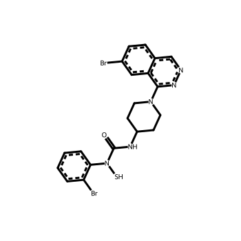 O=C(NC1CCN(c2nncc3ccc(Br)cc23)CC1)N(S)c1ccccc1Br